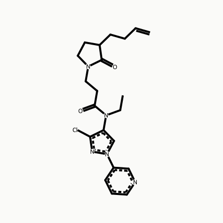 C=CCCC1CCN(CCC(=O)N(CC)c2cn(-c3cccnc3)nc2Cl)C1=O